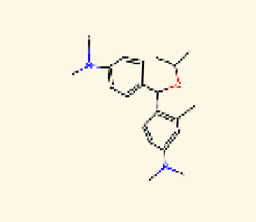 Cc1cc(N(C)C)ccc1C(OC(C)C)c1ccc(N(C)C)cc1